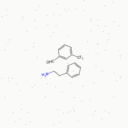 NCCc1ccccc1.O=Cc1cccc(C(F)(F)F)c1